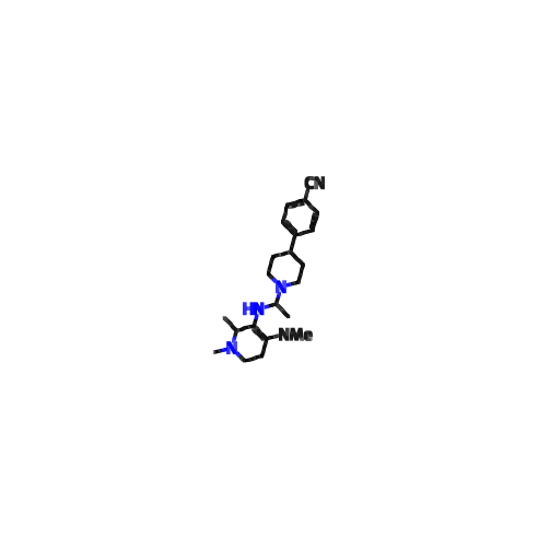 CNC1=C(NC(C)N2CCC(c3ccc(C#N)cc3)CC2)C(C)N(C)CC1